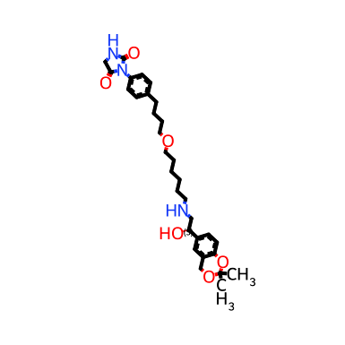 CC1(C)OCc2cc([C@H](O)CNCCCCCCOCCCCc3ccc(N4C(=O)CNC4=O)cc3)ccc2O1